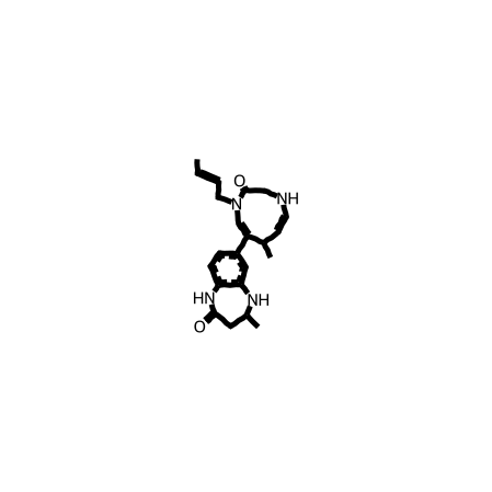 C/C=C/CN1/C=C(/c2ccc3c(c2)NC(C)CC(=O)N3)C(C)/C=C\NCC1=O